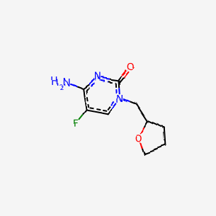 Nc1nc(=O)n(CC2CCCO2)cc1F